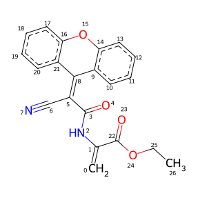 C=C(NC(=O)C(C#N)=C1c2ccccc2Oc2ccccc21)C(=O)OCC